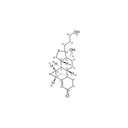 C[C@]12CCC(=O)C=C1[C@@H]1C[C@@H]1[C@@H]1[C@@H]2CC[C@@]2(C)[C@H]1CC[C@@]2(O)CCCO